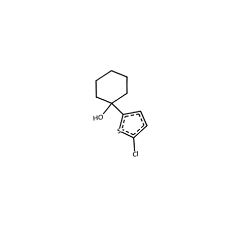 OC1(c2ccc(Cl)s2)CCCCC1